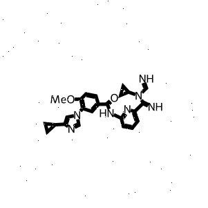 COc1ccc(C(=O)Nc2cccc(C(=N)N(C=N)C3CC3)n2)cc1-n1cnc(C2CC2)c1